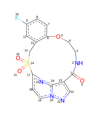 O=C1NCCOc2ccc(F)cc2CS(=O)(=O)c2ccn3ncc1c3n2